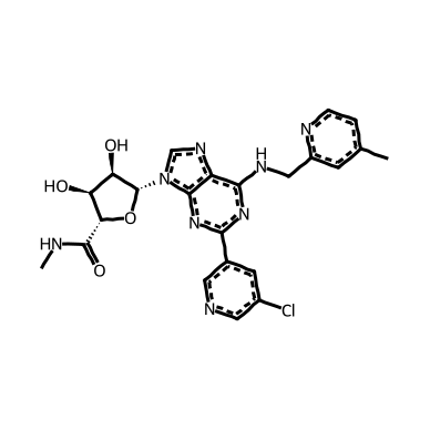 CNC(=O)[C@H]1O[C@@H](n2cnc3c(NCc4cc(C)ccn4)nc(-c4cncc(Cl)c4)nc32)[C@H](O)[C@@H]1O